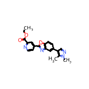 CCOC(=O)c1cc(-c2nc3cc(-c4cnn(C)c4C)ccc3o2)ccn1